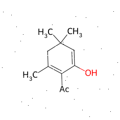 CC(=O)C1=C(C)CC(C)(C)C=C1O